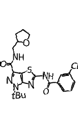 CC(C)(C)n1nc(C(=O)NCC2CCCO2)c2sc(NC(=O)c3cccc(Cl)c3)nc21